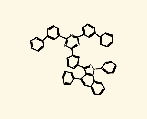 c1ccc(-c2cccc(-c3nc(-c4cccc(-c5ccccc5)c4)nc(-c4cccc(-c5nn(-c6ccccc6)c6c5c(-c5ccccc5)cc5ccccc56)c4)n3)c2)cc1